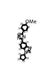 COc1ccc(-c2nc(-c3ccc4c(c3)nnn4C3CCCC3)no2)cc1